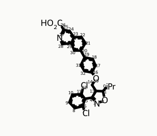 CC(C)C1ON=C(c2c(Cl)cccc2Cl)C1COc1ccc(-c2ccc3cc(C(=O)O)ncc3c2)cc1